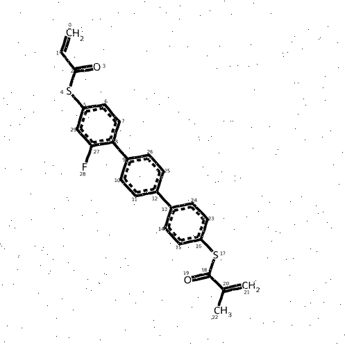 C=CC(=O)Sc1ccc(-c2ccc(-c3ccc(SC(=O)C(=C)C)cc3)cc2)c(F)c1